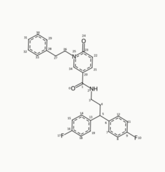 O=C(NCCC(c1ccc(F)cc1)c1ccc(F)cc1)c1ccc(=O)n(CCc2ccccc2)c1